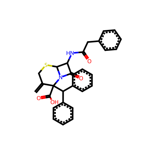 C=C1CSC2C(NC(=O)Cc3ccccc3)C(=O)N2C1(C(=O)O)C(c1ccccc1)c1ccccc1